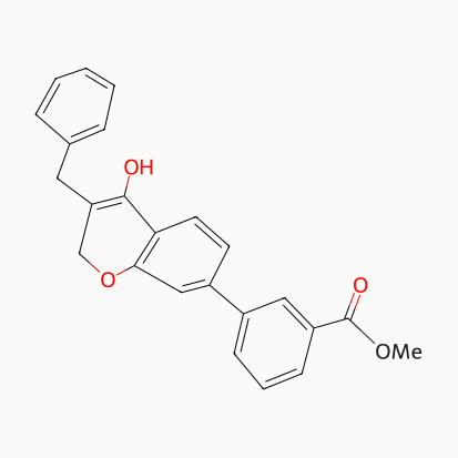 COC(=O)c1cccc(-c2ccc3c(c2)OCC(Cc2ccccc2)=C3O)c1